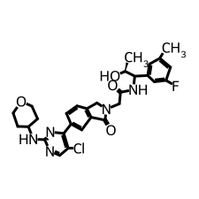 Cc1cc(F)cc(C(NC(=O)CN2Cc3ccc(-c4nc(NC5CCOCC5)ncc4Cl)cc3C2=O)[C@H](C)O)c1